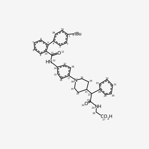 CC(C)(C)c1ccc(-c2ccccc2C(=O)Nc2ccc(N3CCC(C(C(=O)NCC(=O)O)c4ccccc4)CC3)cc2)cc1